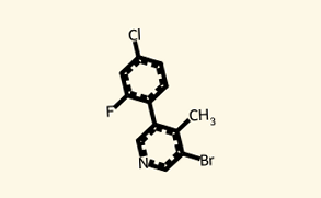 Cc1c(Br)cncc1-c1ccc(Cl)cc1F